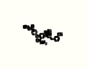 CCS(=O)(=O)N(CC=Cc1cccc(C#N)c1)c1ccc(OC2CCN(C(=O)OC(C)(C)C)CC2)c(C(N)=O)c1